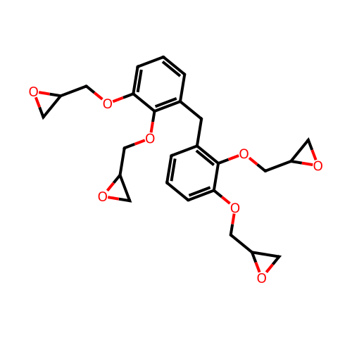 c1cc(Cc2cccc(OCC3CO3)c2OCC2CO2)c(OCC2CO2)c(OCC2CO2)c1